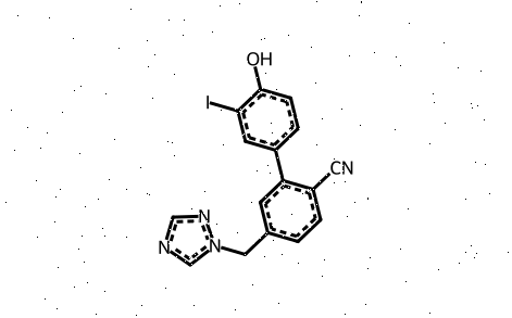 N#Cc1ccc(Cn2cncn2)cc1-c1ccc(O)c(I)c1